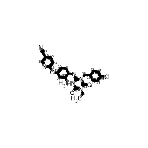 CCn1c(=O)[nH]/c(=N\C2CC=C(Oc3ccc(C#N)cn3)C=C2C)n(Cc2ccc(Cl)cc2)c1=O